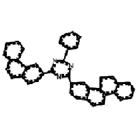 c1ccc(-c2nc(-c3ccc4ccc5ccccc5c4c3)nc(-c3ccc4ccc5c6ccccc6ccc5c4c3)n2)cc1